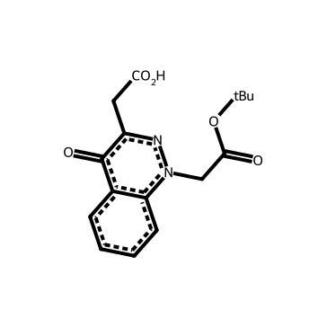 CC(C)(C)OC(=O)Cn1nc(CC(=O)O)c(=O)c2ccccc21